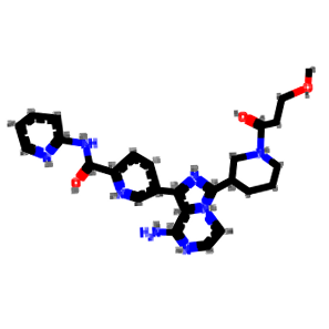 COCCC(=O)N1CCCC(c2nc(-c3ccc(C(=O)Nc4ccccn4)nc3)c3c(N)nccn23)C1